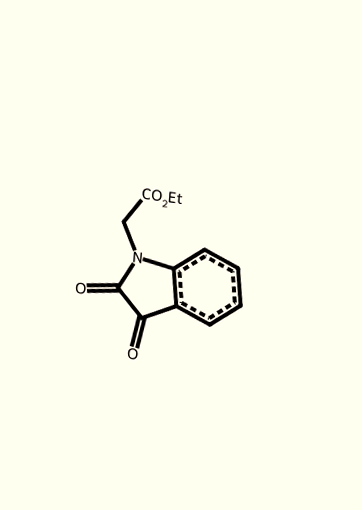 CCOC(=O)CN1C(=O)C(=O)c2ccccc21